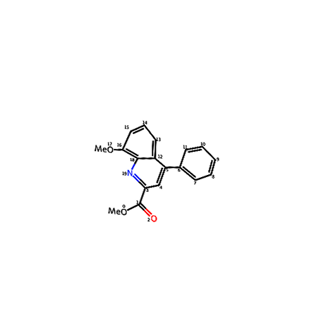 COC(=O)c1cc(-c2ccccc2)c2cccc(OC)c2n1